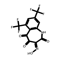 O=C1Nc2cc(C(F)(F)F)cc(C(F)(F)F)c2C(=O)C(=O)/C1=N\O